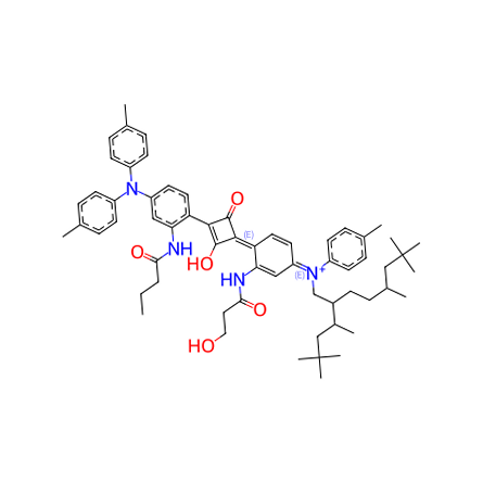 CCCC(=O)Nc1cc(N(c2ccc(C)cc2)c2ccc(C)cc2)ccc1C1=C(O)/C(=C2C=C/C(=[N+](/CC(CCC(C)CC(C)(C)C)C(C)CC(C)(C)C)c3ccc(C)cc3)C=C/2NC(=O)CCO)C1=O